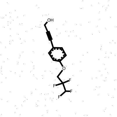 OCC#Cc1ccc(OCC(F)(F)C(F)F)cc1